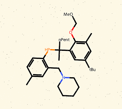 CCCCCC(C)(Pc1ccc(C)cc1CN1CCCCC1)c1cc(C(C)(C)C)cc(C)c1OCOC